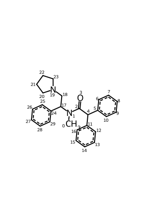 CN(C(=O)C(c1ccccc1)c1ccccc1)C(CN1CCCC1)c1ccccc1